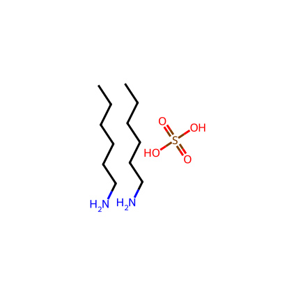 CCCCCCN.CCCCCCN.O=S(=O)(O)O